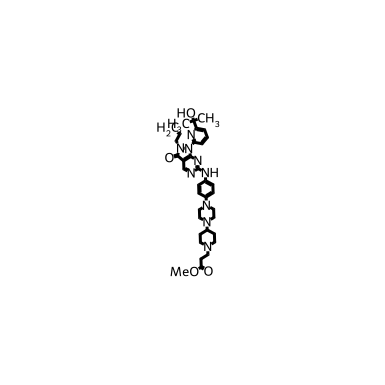 C=CCn1c(=O)c2cnc(Nc3ccc(N4CCN(C5CCN(CCC(=O)OC)CC5)CC4)cc3)nc2n1-c1cccc(C(C)(C)O)n1